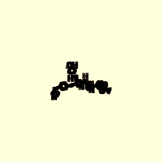 CN1CCN(Cc2ccc(C#Cc3cnc(Nc4ccnc(-c5cnn(S(=O)(=O)C6CC6)c5)n4)cc3NC[C@H]3CC[C@](C)(O)CC3)cc2)CC1